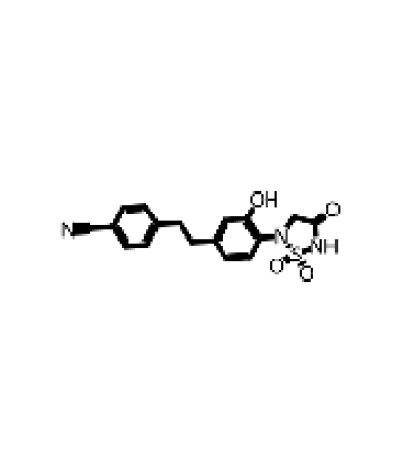 N#Cc1ccc(CCc2ccc(N3CC(=O)NS3(=O)=O)c(O)c2)cc1